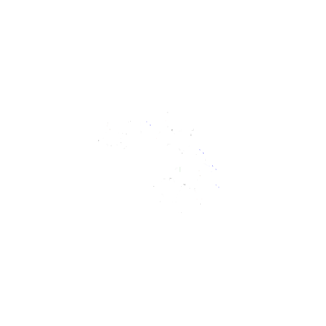 Nc1nc(Nc2ccc(S(=O)(=O)NCCc3cccs3)cc2)sc1C(=O)c1c(F)cccc1F